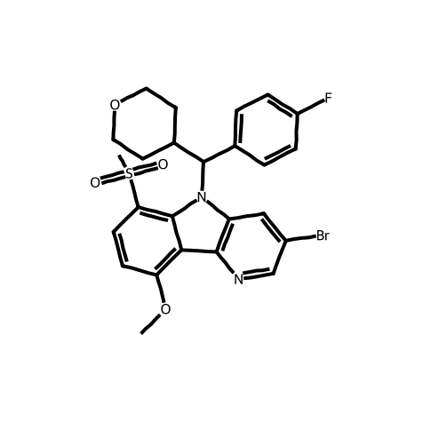 COc1ccc(S(C)(=O)=O)c2c1c1ncc(Br)cc1n2C(c1ccc(F)cc1)C1CCOCC1